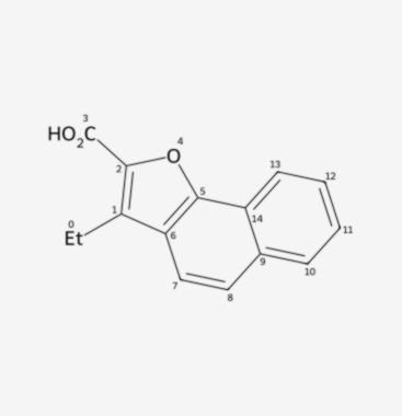 CCc1c(C(=O)O)oc2c1ccc1ccccc12